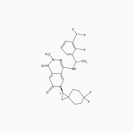 CC(Nc1nn(C)c(=O)c2cc(=O)n([C@@H]3CC34CCC(F)(F)CC4)cc12)c1cccc(C(F)F)c1F